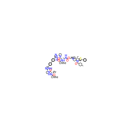 COC(=O)N[C@@H](CCNC(=O)OCCN1CCC(N(C(=O)C2CCC(C)CC2)c2cc(-c3ccccc3)sc2C(=O)O)CC1)C(=O)N1CCC[C@H]1c1ncc(-c2ccc(-c3ccc(-c4cnc([C@@H]5CCCN5C(=O)[C@@H](NC(=O)OC)C(C)C)[nH]4)cc3)cc2)[nH]1